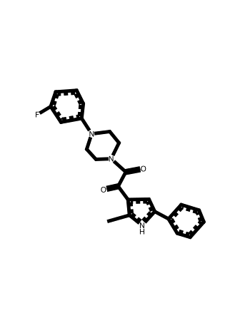 Cc1[nH]c(-c2ccccc2)cc1C(=O)C(=O)N1CCN(c2cccc(F)c2)CC1